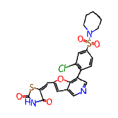 O=C1NC(=O)/C(=C\c2cc3cncc(-c4ccc(S(=O)(=O)N5CCCCC5)cc4Cl)c3o2)S1